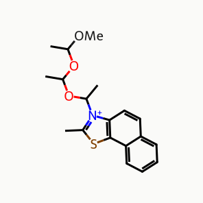 COC(C)OC(C)OC(C)[n+]1c(C)sc2c3ccccc3ccc21